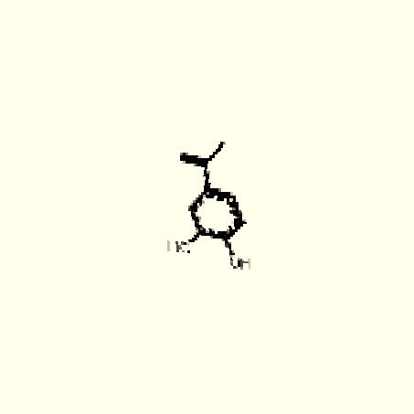 C=C(C)c1ccc(O)c(O)c1